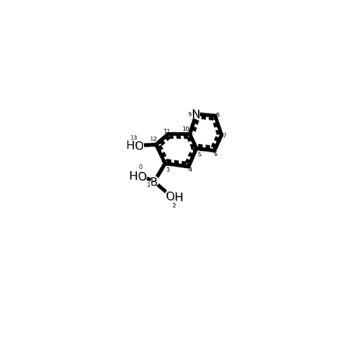 OB(O)c1cc2cccnc2cc1O